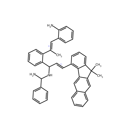 C/C(=C\c1ccccc1N)c1ccccc1C(/C=C/c1cccc2c1-c1cc3ccccc3cc1C2(C)C)NC(N)c1ccccc1